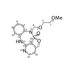 COCCOCN1c2ccccc2Nc2ncccc2S1(=O)=O